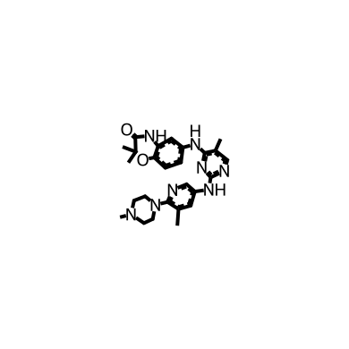 Cc1cnc(Nc2cnc(N3CCN(C)CC3)c(C)c2)nc1Nc1ccc2c(c1)NC(=O)C(C)(C)O2